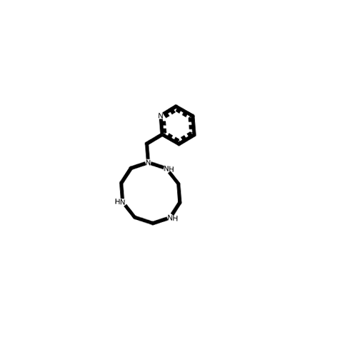 c1ccc(CN2CCNCCNCCN2)nc1